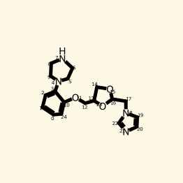 c1ccc(N2CCNCC2)c(OCC2COC(Cn3ccnc3)O2)c1